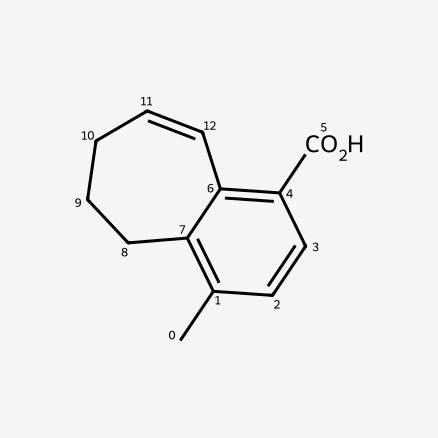 Cc1ccc(C(=O)O)c2c1CCCC=C2